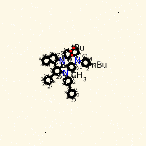 CCCCc1ccc(N(c2ccccc2)c2ccc3c(c2)B2c4c(cc(-c5ccccc5)cc4N3c3ccc(-c4ccccc4)cc3C)-c3c(ccc4ccccc34)N2c2ccc(C(C)(C)C)cc2)cc1